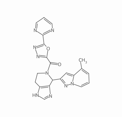 Cc1cccn2nc(C3c4nc[nH]c4CCN3C(=O)c3nnc(-c4ncccn4)o3)cc12